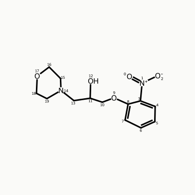 O=[N+]([O-])c1ccccc1OCC(O)CN1CCOCC1